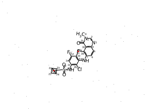 Cn1cnc2ccc(Nc3c(F)c(F)cc(NS(=O)(=O)N4CC5CC4C5)c3Cl)c(F)c2c1=O